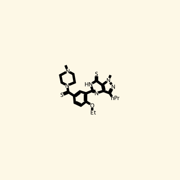 CCCc1nn(C)c2c(=S)[nH]c(-c3cc(C(=S)N4CCN(C)CC4)ccc3OCC)nc12